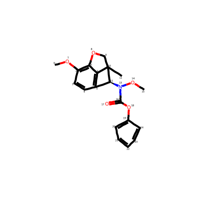 COc1ccc2c3c1OCC3(C)[C@H]2N(OC)C(=O)Oc1ccccc1